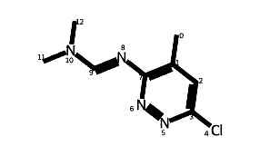 Cc1cc(Cl)nnc1/N=C/N(C)C